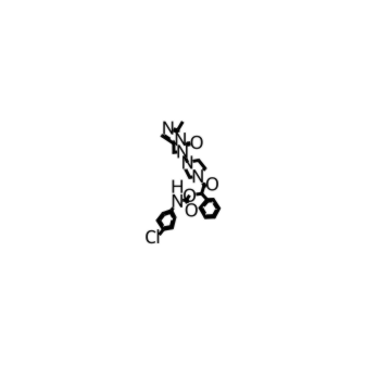 Cc1ncc2n1C(=O)N(N1CCN(C(=O)C(OC(=O)Nc3ccc(Cl)cc3)c3ccccc3)CC1)C2